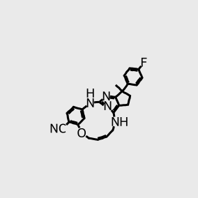 CC1(c2ccc(F)cc2)CCc2c3nc(nc21)Nc1ccc(C#N)c(c1)OC/C=C\CN3